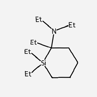 CCN(CC)C1(CC)CCCC[Si]1(CC)CC